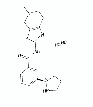 CN1CCc2nc(NC(=O)c3cccc([C@H]4CCCN4)c3)sc2C1.Cl.Cl